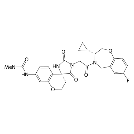 CNC(=O)Nc1ccc2c(c1)OCC[C@@]21NC(=O)N(CC(=O)N2Cc3cc(F)ccc3OC[C@H]2C2CC2)C1=O